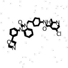 Cc1ncc(Cl)cc1C(=O)NC1CCC(Cn2c(=O)n(-c3cccc(-c4cnco4)c3)c3ccccc32)CC1